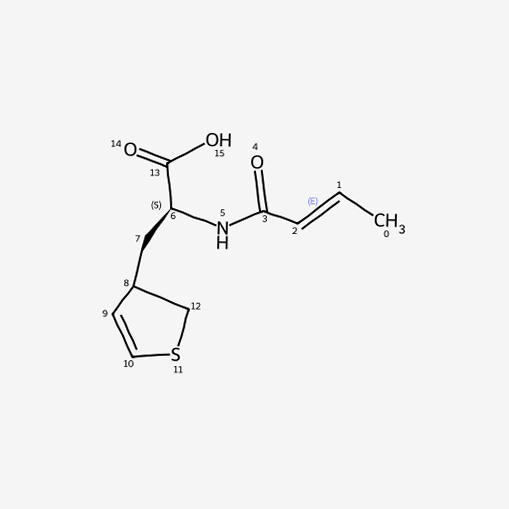 C/C=C/C(=O)N[C@@H](CC1C=CSC1)C(=O)O